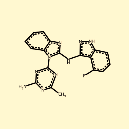 Cc1nc(N)nc(-n2c(Nc3n[nH]c4cccc(F)c34)nc3ccccc32)n1